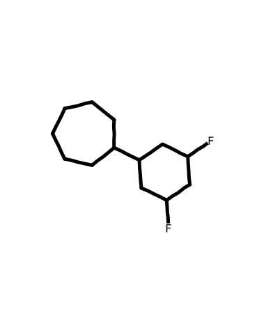 FC1CC(F)CC(C2CCCCCC2)C1